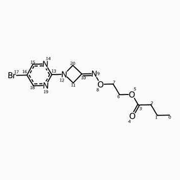 CCCC(=O)OCCON=C1CN(c2ncc(Br)cn2)C1